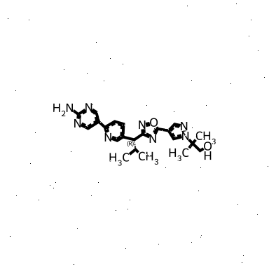 CC(C)[C@H](c1ccc(-c2cnc(N)nc2)nc1)c1noc(-c2cnn(C(C)(C)CO)c2)n1